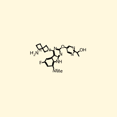 CNc1cc(F)cc2c1[nH]c1nc(Oc3cnc(C(C)O)nc3)nc(N3CC4(CC[C@H]4N)C3)c12